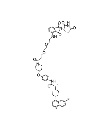 C[C@@H](C(=O)Nc1ccc(OC2CCN(C(=O)CCOCCOCCNc3cccc4c3C(=O)N(C3CCC(=O)NC3=O)C4=O)CC2)cc1)[C@H]1CC[C@@H](c2ccnc3ccc(F)cc32)CC1